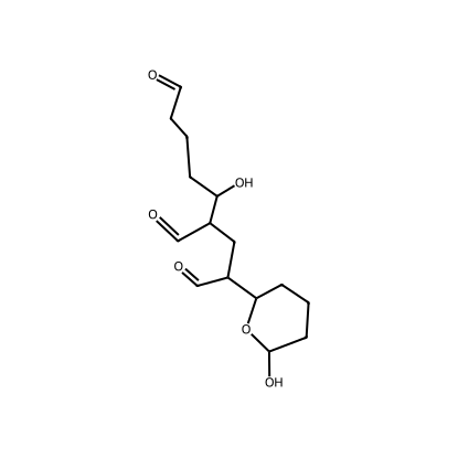 O=CCCCC(O)C(C=O)CC(C=O)C1CCCC(O)O1